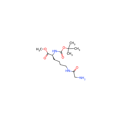 COC(=O)[C@H](CCCCNC(=O)CN)NC(=O)OC(C)(C)C